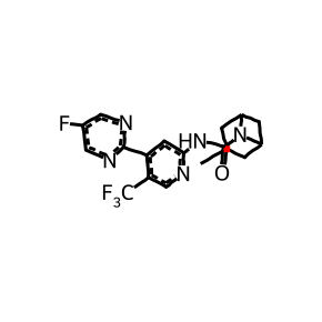 CC1CC2CC(C1)N2C(=O)Nc1cc(-c2ncc(F)cn2)c(C(F)(F)F)cn1